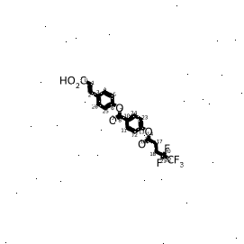 O=C(O)/C=C/c1ccc(OC(=O)c2ccc(OC(=O)CCC(F)(F)C(F)(F)F)cc2)cc1